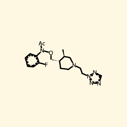 CC(=O)N(OC[C@H]1CCN(CCn2ncnn2)C[C@@H]1C)c1ccccc1F